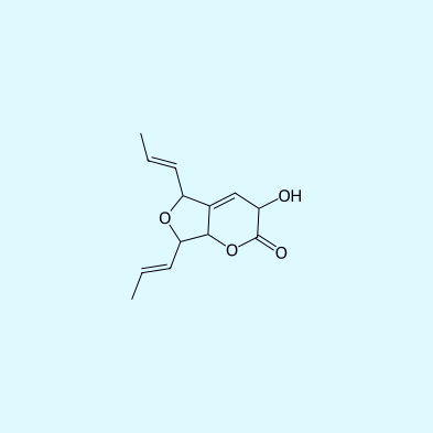 C/C=C/C1OC(/C=C/C)C2OC(=O)C(O)C=C12